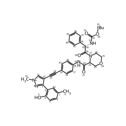 Cc1ccc(O)c(-c2nn(C)cc2C#Cc2ccc(NC(=O)C3COCCN3C(=O)[C@@H](NC(=O)OC(C)(C)C)c3ccccc3)cc2)c1